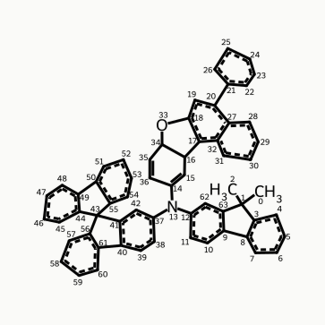 CC1(C)c2ccccc2-c2ccc(N(C3=CC4c5c(cc(-c6ccccc6)c6ccccc56)OC4C=C3)c3ccc4c(c3)C3(c5ccccc5-c5ccccc53)c3ccccc3-4)cc21